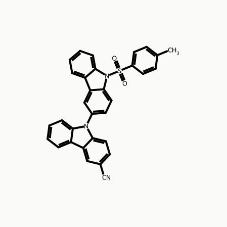 Cc1ccc(S(=O)(=O)n2c3ccccc3c3cc(-n4c5ccccc5c5cc(C#N)ccc54)ccc32)cc1